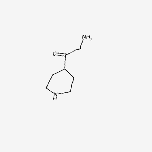 NCC(=O)C1CCNCC1